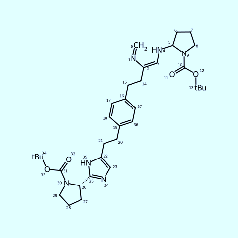 C=N/C(=C\NC1CCCN1C(=O)OC(C)(C)C)CCc1ccc(CCc2cnc([C@@H]3CCCN3C(=O)OC(C)(C)C)[nH]2)cc1